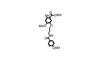 COC(=O)c1cc(OCCCNC(=O)c2ccc(OC)cc2)c(OC)cc1N